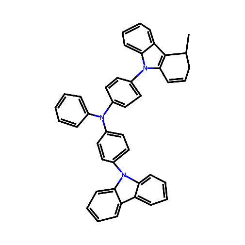 CC1CC=Cc2c1c1ccccc1n2-c1ccc(N(c2ccccc2)c2ccc(-n3c4ccccc4c4ccccc43)cc2)cc1